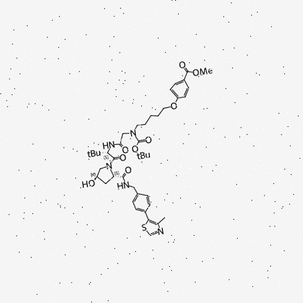 COC(=O)c1ccc(OCCCCCN(CC(=O)N[C@H](C(=O)N2C[C@H](O)C[C@H]2C(=O)NCc2ccc(-c3scnc3C)cc2)C(C)(C)C)C(=O)OC(C)(C)C)cc1